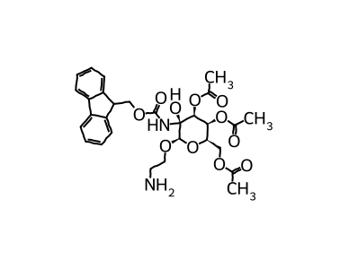 CC(=O)OC[C@H]1O[C@@H](OCCN)[C@](O)(NC(=O)OCC2c3ccccc3-c3ccccc32)[C@@H](OC(C)=O)[C@H]1OC(C)=O